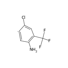 Nc1c[c]c(Cl)cc1C(F)(F)F